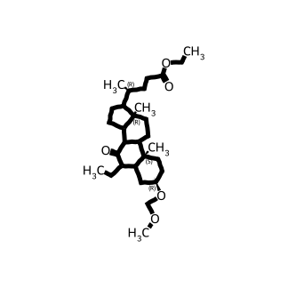 CCOC(=O)CC[C@@H](C)C1CCC2C3C(=O)C(CC)C4C[C@H](OCOC)CC[C@]4(C)C3CC[C@@]21C